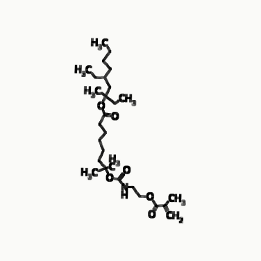 C=C(C)C(=O)OCCNC(=O)OC(C)(C)CCCCCC(=O)OC(C)(CC)CC(CC)CCCC